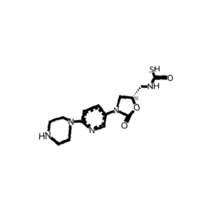 O=C(S)NC[C@H]1CN(c2ccc(N3CCNCC3)nc2)C(=O)O1